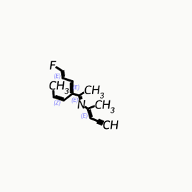 C#C/C=C(C)/N=C(C)/C(/C=C\C)=C/C=C/F